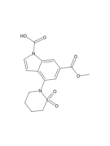 COC(=O)c1cc(N2CCCCS2(=O)=O)c2ccn(C(=O)O)c2c1